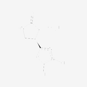 Cn1nc([C@H]2CNC(=O)[C@@H]2C(=O)O)cc1Cl